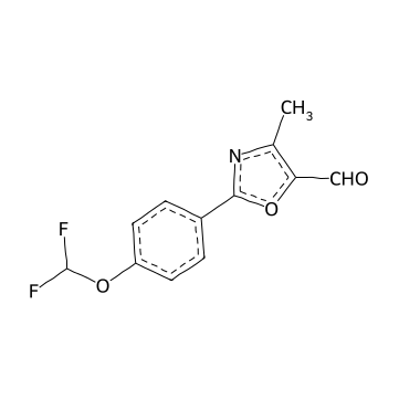 Cc1nc(-c2ccc(OC(F)F)cc2)oc1C=O